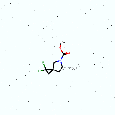 CC(C)(C)OC(=O)N1CC2(C[C@H]1C(=O)O)CC2(F)F